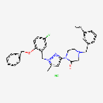 COc1cccc(CN2CCN(c3cc(C)n(Cc4cc(Cl)ccc4OCc4ccccc4)n3)C(=O)C2)c1.Cl